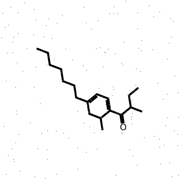 CCCCCCCC1=CC=C(C(=O)C(C)CC)C(C)C1